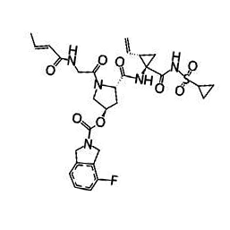 C=C[C@@H]1C[C@]1(NC(=O)[C@@H]1C[C@@H](OC(=O)N2Cc3cccc(F)c3C2)CN1C(=O)CNC(=O)/C=C/C)C(=O)NS(=O)(=O)C1CC1